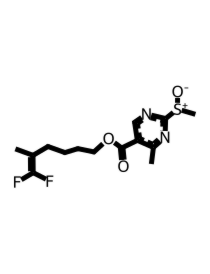 CC(CCCCOC(=O)c1cnc([S+](C)[O-])nc1C)=C(F)F